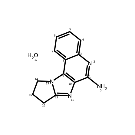 Nc1nc2ccccc2c2c1nc1n2CCC1.O